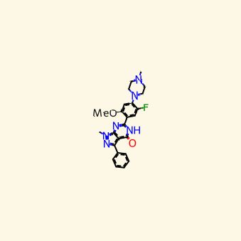 COc1cc(N2CCN(C)CC2)c(F)cc1-c1nc2c(c(-c3ccccc3)nn2C)c(=O)[nH]1